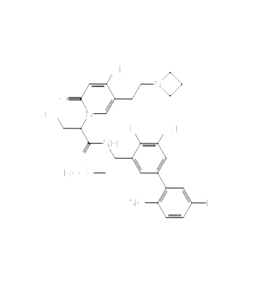 CCc1ccc(C#N)c(-c2cc(C)c(F)c([C@H](CC(=O)O)NC(=O)C(CC(C)C)n3cc(CCN4CCC4)c(C(F)(F)F)cc3=O)c2)c1